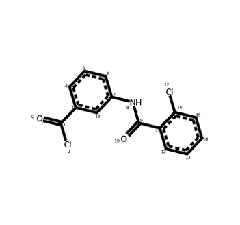 O=C(Cl)c1cccc(NC(=O)c2ccccc2Cl)c1